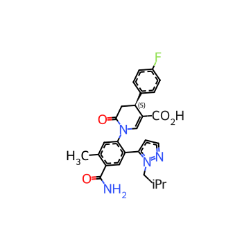 Cc1cc(N2C=C(C(=O)O)[C@H](c3ccc(F)cc3)CC2=O)c(-c2ccnn2CC(C)C)cc1C(N)=O